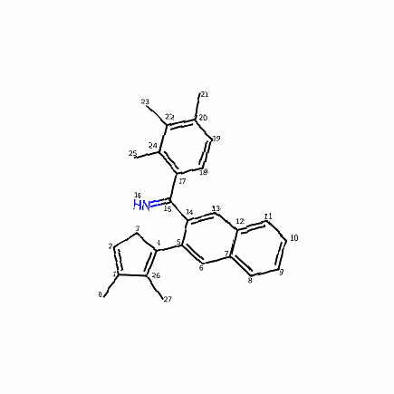 CC1=CCC(c2cc3ccccc3cc2C(=N)c2ccc(C)c(C)c2C)=C1C